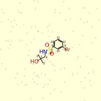 CC(C)(O)CNS(=O)(=O)c1cccc(Br)c1